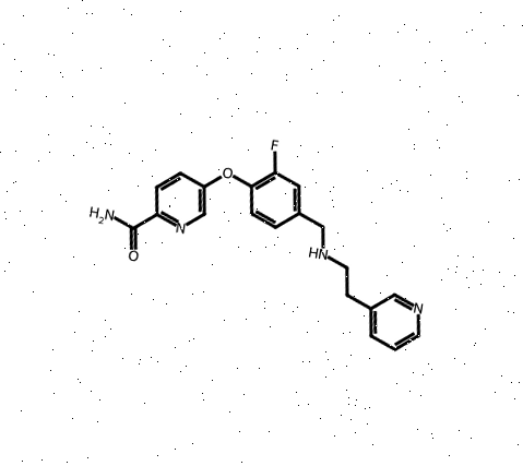 NC(=O)c1ccc(Oc2ccc(CNCCc3cccnc3)cc2F)cn1